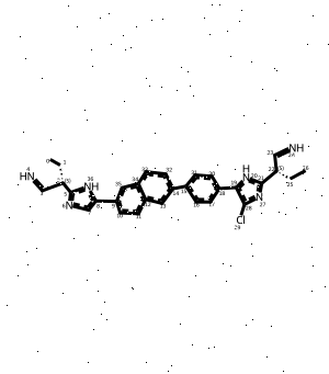 CC[C@@H](C=N)c1ncc(-c2ccc3cc(-c4ccc(-c5[nH]c([C@H](C=N)CC)nc5Cl)cc4)ccc3c2)[nH]1